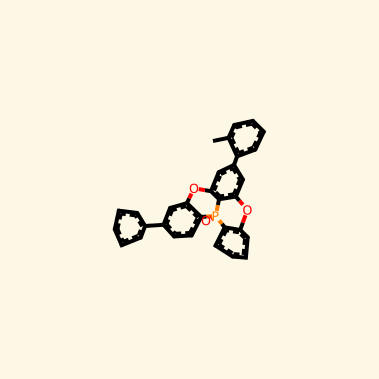 Cc1ccccc1-c1cc2c3c(c1)Oc1cc(-c4ccccc4)ccc1P3(=O)c1ccccc1O2